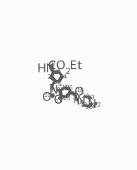 CCOC(=O)Nc1cccc(Cn2c(=O)oc3cc(C(=O)CN4CCN(C)CC4)ccc32)c1